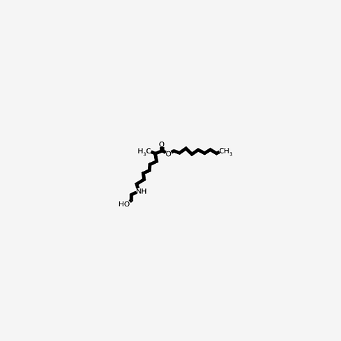 CCCCCCCCCOC(=O)C(C)CCCCCCNCCO